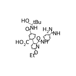 CCOc1ccc(-c2ccc(C(=O)NC(CO)C(C)(C)C)cc2C(=O)O)c(C(=O)Nc2ccc(C(=N)N)cc2)n1